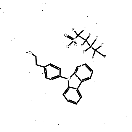 O=S(=O)([O-])C(F)(F)C(F)(F)C(F)(F)C(F)(F)F.OCCc1ccc(-[s+]2c3ccccc3c3ccccc32)cc1